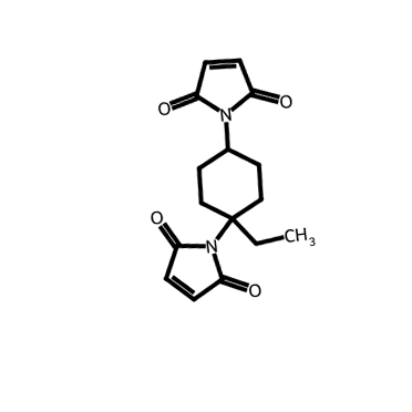 CCC1(N2C(=O)C=CC2=O)CCC(N2C(=O)C=CC2=O)CC1